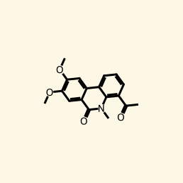 COc1cc2c(=O)n(C)c3c(C(C)=O)cccc3c2cc1OC